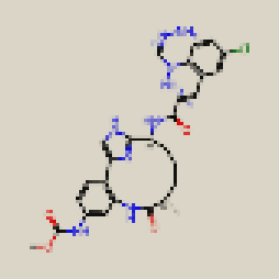 COC(=O)Nc1ccc2c(c1)NC(=O)[C@@H](C)CCC[C@H](NC(=O)/C=C/c1cc(Cl)ccc1N(N)/C=N\N)c1nc-2c[nH]1